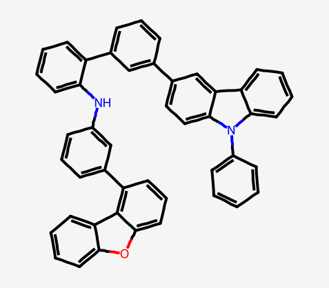 c1ccc(-n2c3ccccc3c3cc(-c4cccc(-c5ccccc5Nc5cccc(-c6cccc7oc8ccccc8c67)c5)c4)ccc32)cc1